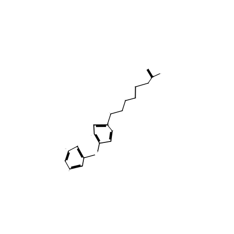 O=CC(=O)CCCCCCc1ccc(Sc2ccccc2)cc1